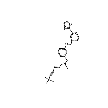 CN(CC=CC#CC(C)(C)C)Cc1cccc(OCc2cccc(-c3ncco3)c2)c1